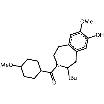 COc1cc2c(cc1O)CC(C(C)(C)C)N(C(=O)C1CCC(OC)CC1)CC2